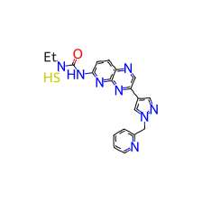 CCN(S)C(=O)Nc1ccc2ncc(-c3cnn(Cc4ccccn4)c3)nc2n1